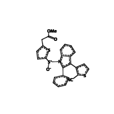 COC(=O)Cc1ccc([S+]([O-])n2c(-c3ccccc3)c(-c3ccsc3C#N)c3ccccc32)s1